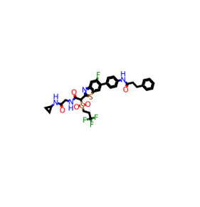 O=C(CCc1ccccc1)Nc1ccc(-c2cc3sc(C(C(=O)NCC(=O)NC4CC4)S(=O)(=O)CCC(F)(F)F)nc3cc2F)cc1